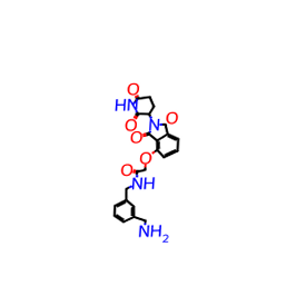 NCc1cccc(CNC(=O)COc2cccc3c2C(=O)N(C2CCC(=O)NC2=O)C3=O)c1